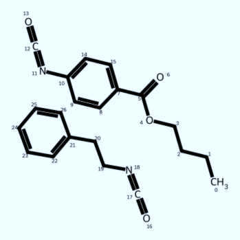 CCCCOC(=O)c1ccc(N=C=O)cc1.O=C=NCCc1ccccc1